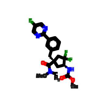 CON(C)C(=O)[C@]1(Cc2cccc(-c3ncc(F)cn3)c2)C[C@@H](NC(=O)OC(C)(C)C)C(F)(F)C1